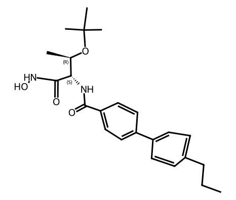 CCCc1ccc(-c2ccc(C(=O)N[C@H](C(=O)NO)[C@@H](C)OC(C)(C)C)cc2)cc1